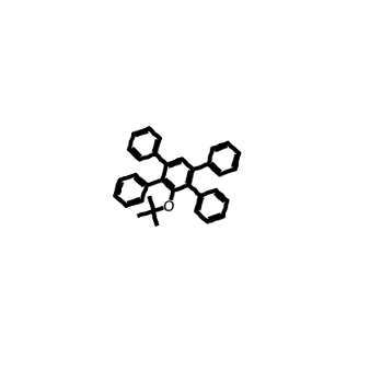 CC(C)(C)Oc1c(-c2ccccc2)c(-c2ccccc2)cc(-c2ccccc2)c1-c1ccccc1